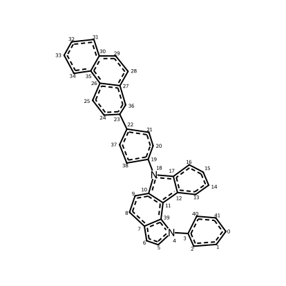 c1ccc(-n2ccc3ccc4c(c5ccccc5n4-c4ccc(-c5ccc6c(ccc7ccccc76)c5)cc4)c32)cc1